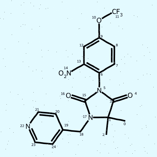 CC1(C)C(=O)N(c2ccc(OC(F)(F)F)cc2[N+](=O)[O-])C(=O)N1Cc1ccncc1